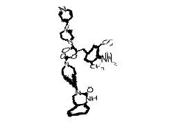 Nc1c(C(F)(F)F)cc(C[C@@H](OC(=O)N2CCC(N3CCc4ccccc4NC3=O)CC2)C(=O)N2CCN(c3ccncc3)CC2)cc1C(F)(F)F